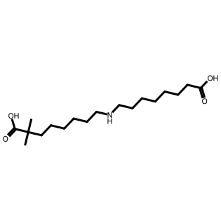 CC(C)(CCCCCCNCCCCCCCC(=O)O)C(=O)O